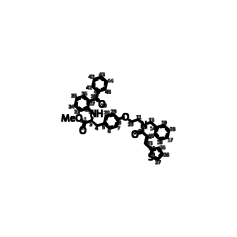 COC(=O)[C@H](Cc1ccc(OCCN(Cc2ccccc2)C(=O)/C=C/c2cccs2)cc1)Nc1ccccc1C(=O)c1ccccc1